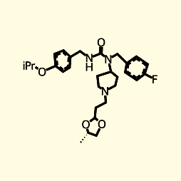 CC(C)Oc1ccc(CNC(=O)N(Cc2ccc(F)cc2)C2CCN(CCC3OC[C@H](C)O3)CC2)cc1